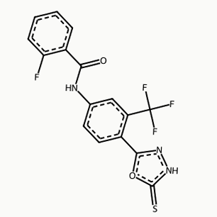 O=C(Nc1ccc(-c2n[nH]c(=S)o2)c(C(F)(F)F)c1)c1ccccc1F